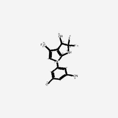 N#Cc1cc(Cl)cc(-n2cc(C(F)(F)F)c3c2NC(F)(F)C3O)c1